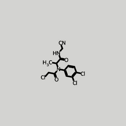 CC(C(=O)NCC#N)N(C(=O)CCl)c1ccc(Cl)c(Cl)c1